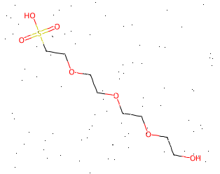 O=S(=O)(O)CCOCCOCCOCCO